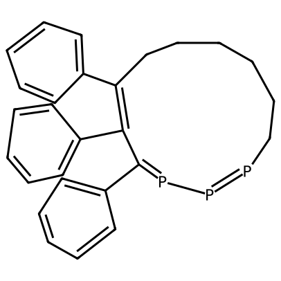 c1ccc(C2=PP=PCCCCCCC(c3ccccc3)=C2c2ccccc2)cc1